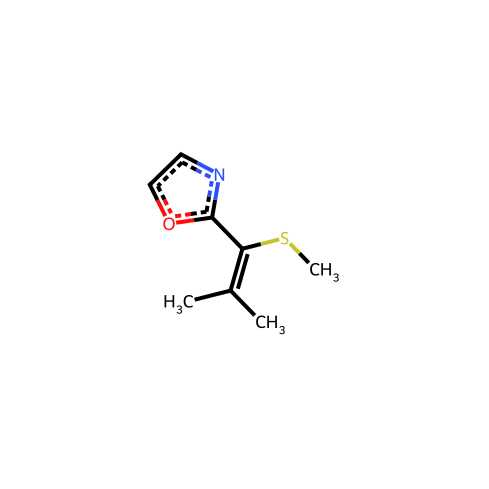 CSC(=C(C)C)c1ncco1